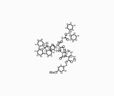 COc1ccc(COC(=O)C2=C(CCl)CS[C@H]3C(NC(=O)/C(=N\OCC(=O)OC(c4ccccc4)c4ccccc4)c4csc(NC(c5ccccc5)(c5ccccc5)c5ccccc5)n4)C(=O)N23)cc1